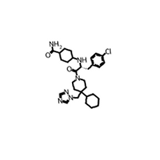 NC(=O)C1CCC(N[C@H](Cc2ccc(Cl)cc2)C(=O)N2CCC(Cn3cncn3)(C3CCCCC3)CC2)CC1